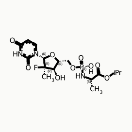 CC(C)OC(=O)[C@H](C)N[P@@](=O)(O)OC[C@H]1O[C@@H](n2ccc(=O)[nH]c2=O)[C@](C)(F)[C@@H]1O